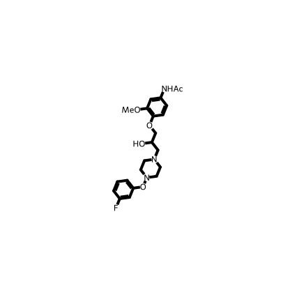 COc1cc(NC(C)=O)ccc1OCC(O)CN1CCN(Oc2cccc(F)c2)CC1